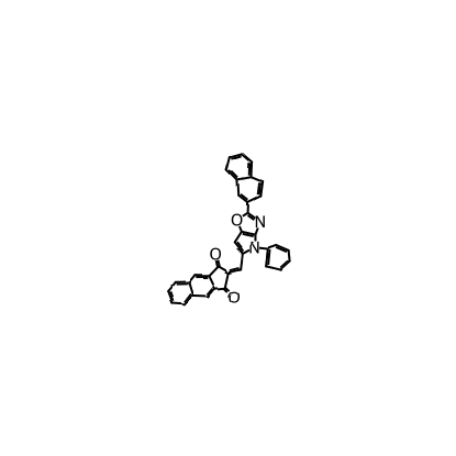 O=C1C(=Cc2cc3oc(-c4ccc5ccccc5c4)nc3n2-c2ccccc2)C(=O)c2cc3ccccc3cc21